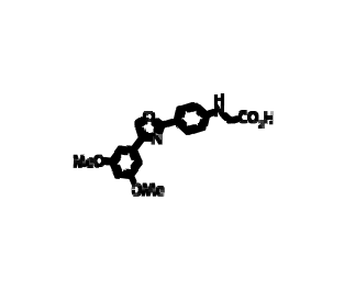 COc1cc(OC)cc(-c2coc(-c3ccc(NCC(=O)O)cc3)n2)c1